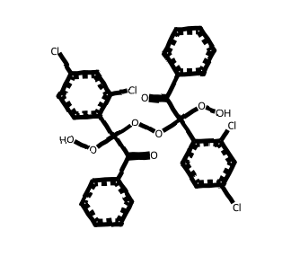 O=C(c1ccccc1)C(OO)(OOC(OO)(C(=O)c1ccccc1)c1ccc(Cl)cc1Cl)c1ccc(Cl)cc1Cl